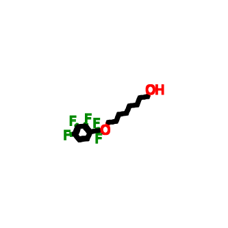 OCCCCCCCCOC(F)(F)c1ccc(F)c(F)c1F